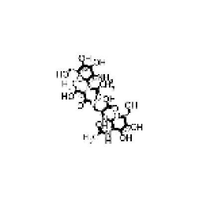 CC(=O)N[C@H]1C(N[C@@H](COC(=O)[C@H]([C@@H](C)O)N(C(C)=O)C2O[C@H](CO)[C@@H](O)[C@H](O)[C@H]2N)C(=O)O)O[C@H](CO)[C@@H](O)[C@@H]1O